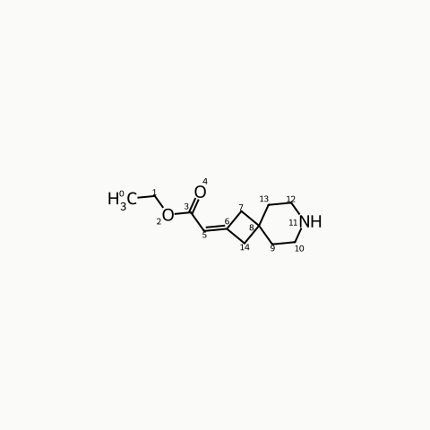 CCOC(=O)C=C1CC2(CCNCC2)C1